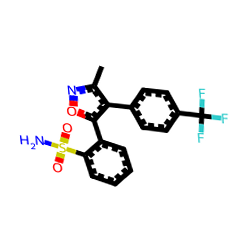 Cc1noc(-c2ccccc2S(N)(=O)=O)c1-c1ccc(C(F)(F)F)cc1